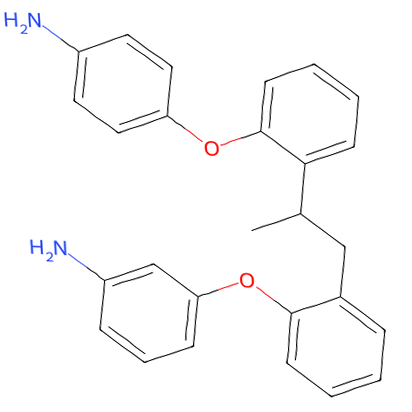 CC(Cc1ccccc1Oc1cccc(N)c1)c1ccccc1Oc1ccc(N)cc1